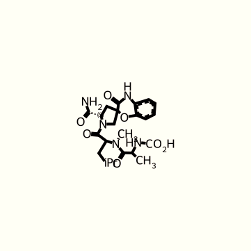 CC(C)CC(C(=O)N1CC2(C[C@H]1C(N)=O)Oc1ccccc1NC2=O)N(C)C(=O)C(C)NC(=O)O